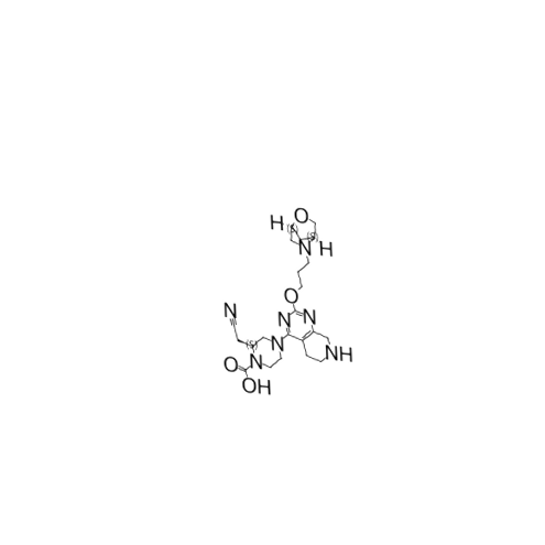 N#CC[C@H]1CN(c2nc(OCCCN3C[C@@H]4C[C@H]3CO4)nc3c2CCNC3)CCN1C(=O)O